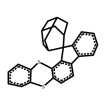 c1ccc2c(c1)Sc1ccc3c(c1S2)C1(c2ccccc2-3)C2CC3CC(C2)CC1C3